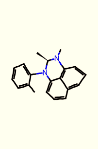 Cc1ccccc1N1c2cccc3cccc(c23)N(C)[C@@H]1C